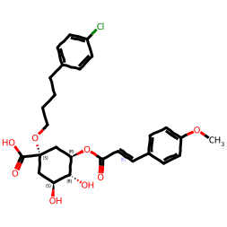 COc1ccc(/C=C/C(=O)O[C@@H]2C[C@](OCCCCc3ccc(Cl)cc3)(C(=O)O)C[C@H](O)[C@H]2O)cc1